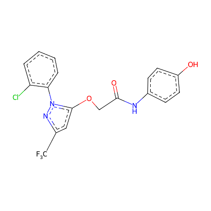 O=C(COc1cc(C(F)(F)F)nn1-c1ccccc1Cl)Nc1ccc(O)cc1